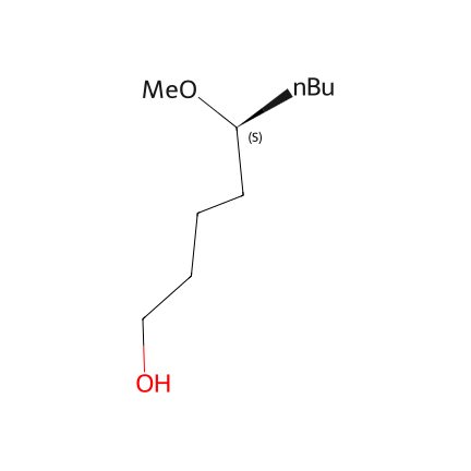 CCCC[C@@H](CCCCO)OC